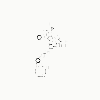 CCC1C[C@H](C(=O)NCCNCc2ccc(CN3CCCNCCNCCCNCC3)c(Br)c2)C[C@H](OC2OC(CO)C(O)C(O[C@@H](CC3CC3)C(=O)O)C2OC(=O)c2ccccc2)C1OC1OC(C)C(O)C(O)C1O